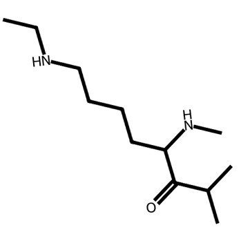 CCNCCCCC(NC)C(=O)C(C)C